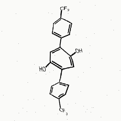 Oc1cc(-c2ccc(C(F)(F)F)cc2)c(O)cc1-c1ccc(C(F)(F)F)cc1